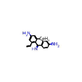 C=Cc1cc(N)c[c]2c1C(=N)c1ccc(N)c[c]1[GeH2]2